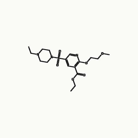 CCOC(=O)c1cc(S(=O)(=O)N2CCN(CC)CC2)cnc1OCCOC